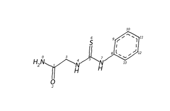 NC(=O)CNC(=S)Nc1ccccc1